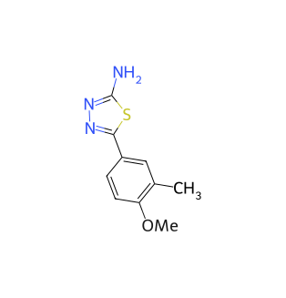 COc1ccc(-c2nnc(N)s2)cc1C